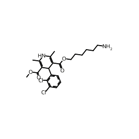 COC(=O)C1=C(C)NC(C)=C(C(=O)OCCCCCCN)C1c1cccc(Cl)c1Cl